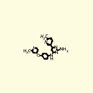 Cc1ccc(-c2cc(Nc3ccc(Oc4ccnc(C)c4)cc3)nc(N)n2)cn1